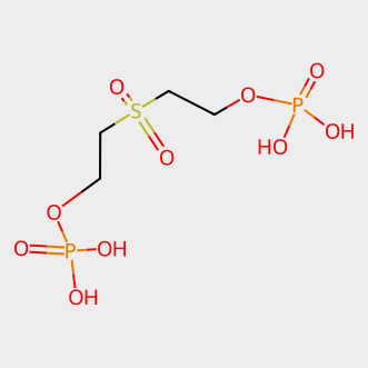 O=P(O)(O)OCCS(=O)(=O)CCOP(=O)(O)O